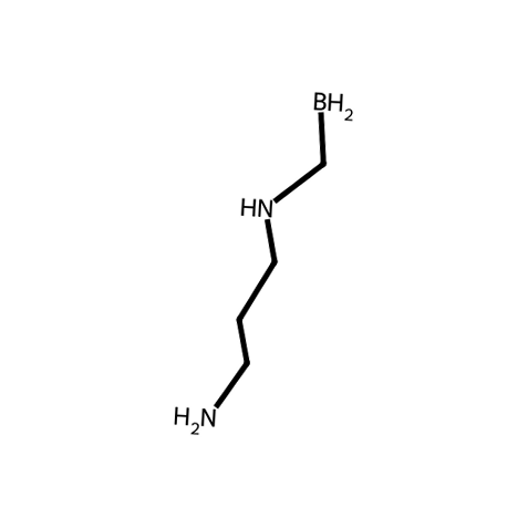 BCNCCCN